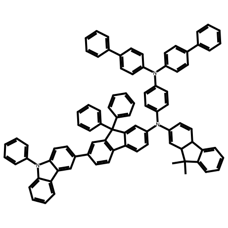 CC1(C)c2ccccc2C2C=CC(N(c3ccc(N(c4ccc(-c5ccccc5)cc4)c4ccc(-c5ccccc5)cc4)cc3)c3ccc4c(c3)C(c3ccccc3)(c3ccccc3)c3cc(-c5ccc6c(c5)c5ccccc5n6-c5ccccc5)ccc3-4)=CC21